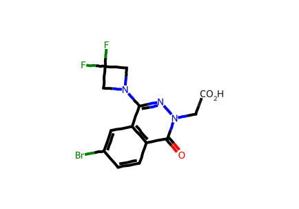 O=C(O)Cn1nc(N2CC(F)(F)C2)c2cc(Br)ccc2c1=O